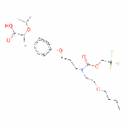 CCCCOCCN(CCCOc1ccc(CC(OC(C)C)C(=O)O)cc1)C(=O)OCC(F)(F)F